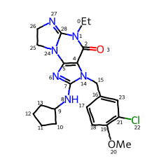 CCN1C(=O)c2c(nc(NC3CCCC3)n2Cc2ccc(OC)c(Cl)c2)N2CCN=C12